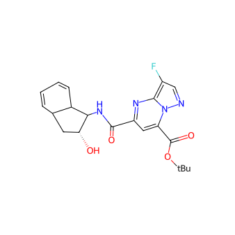 CC(C)(C)OC(=O)c1cc(C(=O)NC2C3C=CC=CC3C[C@H]2O)nc2c(F)cnn12